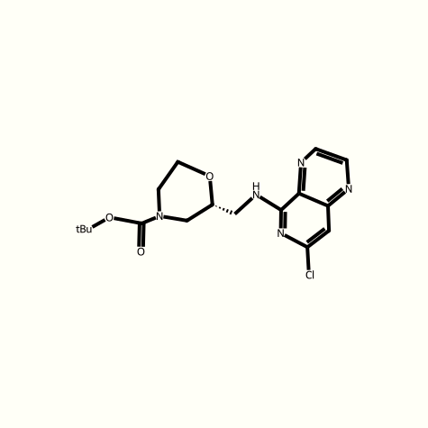 CC(C)(C)OC(=O)N1CCO[C@H](CNc2nc(Cl)cc3nccnc23)C1